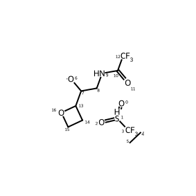 O=[SH](=O)C(F)(F)F.[CH2]C.[O]C(CNC(=O)C(F)(F)F)C1CCO1